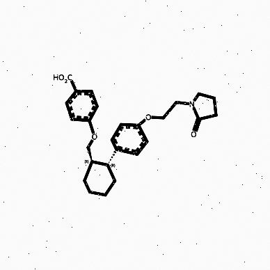 O=C(O)c1ccc(OC[C@@H]2CCCC[C@H]2c2ccc(OCCN3CCCC3=O)cc2)cc1